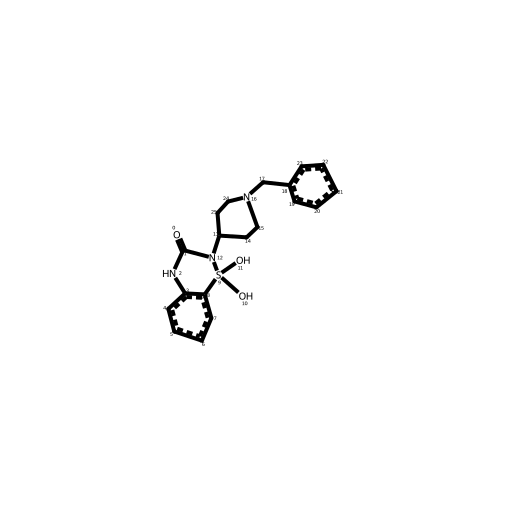 O=C1Nc2ccccc2S(O)(O)N1C1CCN(Cc2ccccc2)CC1